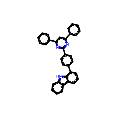 c1ccc(-c2cc(-c3ccccc3)nc(-c3ccc(-c4cccc5c4[nH]c4ccccc45)cc3)n2)cc1